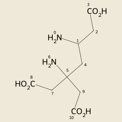 NC(CC(=O)O)CC(N)(CC(=O)O)CC(=O)O